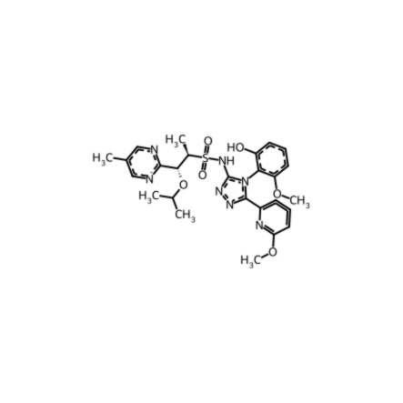 COC1=NC(c2nnc(NS(=O)(=O)[C@H](C)[C@H](OC(C)C)c3ncc(C)cn3)n2-c2c(O)cccc2OC)=C=C=C1